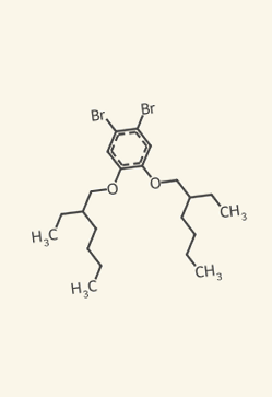 CCCCC(CC)COc1cc(Br)c(Br)cc1OCC(CC)CCCC